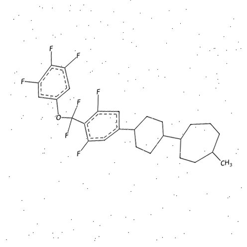 CC1CCCC(C2CCC(c3cc(F)c(C(F)(F)Oc4cc(F)c(F)c(F)c4)c(F)c3)CC2)CC1